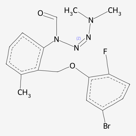 Cc1cccc(N(C=O)/N=N\N(C)C)c1COc1cc(Br)ccc1F